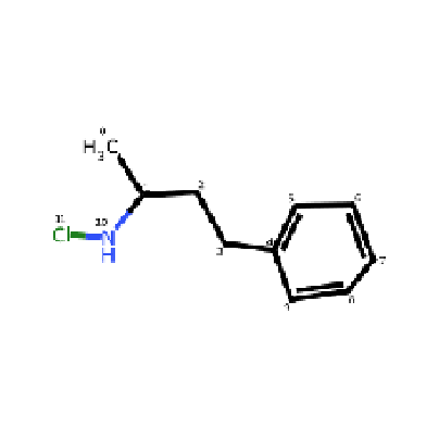 CC(CCc1ccccc1)NCl